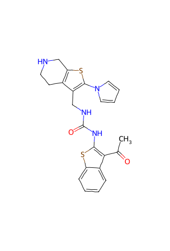 CC(=O)c1c(NC(=O)NCc2c(-n3cccc3)sc3c2CCNC3)sc2ccccc12